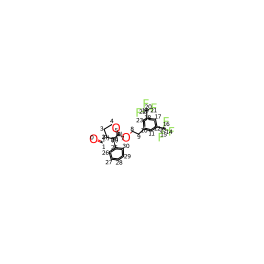 O=C[C@@H]1CCO[C@H](OCCc2cc(C(F)(F)F)cc(C(F)(F)F)c2)[C@H]1c1ccccc1